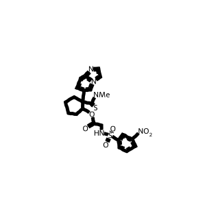 CNC(=S)C1(c2ccc3nccn3c2)CCCCC1OC(=O)CNS(=O)(=O)c1cccc([N+](=O)[O-])c1